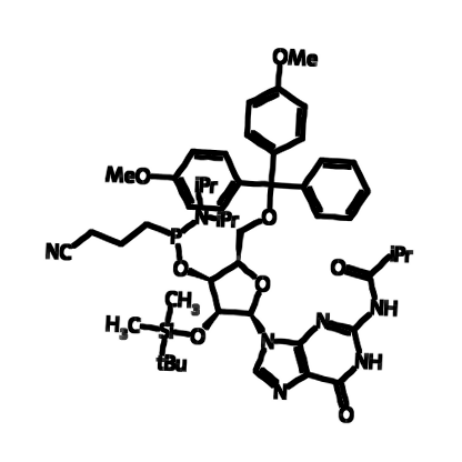 COc1ccc(C(OC[C@H]2O[C@@H](n3cnc4c(=O)[nH]c(NC(=O)C(C)C)nc43)[C@@H](O[Si](C)(C)C(C)(C)C)[C@H]2OP(CCCC#N)N(C(C)C)C(C)C)(c2ccccc2)c2ccc(OC)cc2)cc1